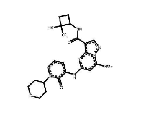 CNc1cc(Nc2cccn(C3CCOCC3)c2=O)nc2c(C(=O)NC3CCC3(O)C(F)(F)F)cnn12